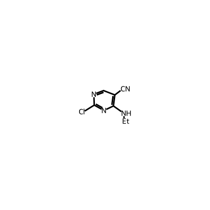 CCNc1nc(Cl)ncc1C#N